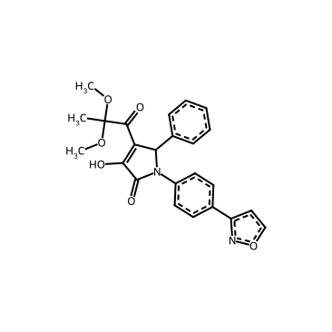 COC(C)(OC)C(=O)C1=C(O)C(=O)N(c2ccc(-c3ccon3)cc2)C1c1ccccc1